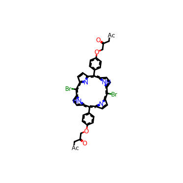 CC(=O)CC(=O)COc1ccc(-c2c3nc(c(Br)c4ccc([nH]4)c(-c4ccc(OCC(=O)CC(C)=O)cc4)c4nc(c(Br)c5ccc2[nH]5)C=C4)C=C3)cc1